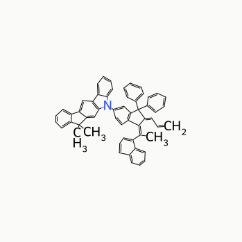 C=C/C=C1\C(=C(/C)c2cccc3ccccc23)c2ccc(-n3c4ccccc4c4cc5c(cc43)C(C)(C)c3ccccc3-5)cc2C1(c1ccccc1)c1ccccc1